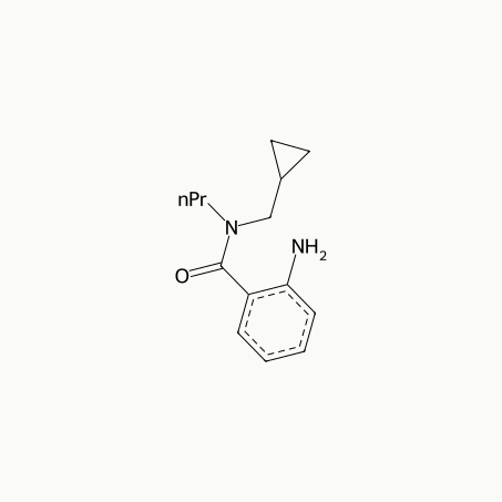 CCCN(CC1CC1)C(=O)c1ccccc1N